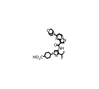 O=C(Nc1cn(C2CCC(C(=O)O)CC2)nc1C(F)F)c1cnn2ccc(N3CC4CC3CO4)nc12